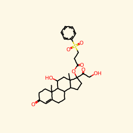 CC12CCC(=O)C=C1CCC1C2C(O)CC2(C)C1CCC2(OC(=O)CCS(=O)(=O)c1ccccc1)C(=O)CO